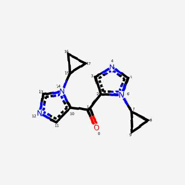 O=C(c1cncn1C1CC1)c1cncn1C1CC1